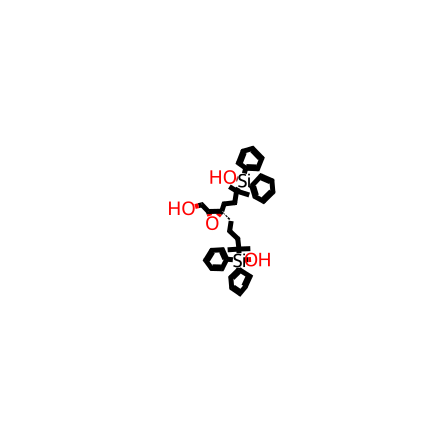 CC(C)(CCC[C@]1(CCC(C)(C)[Si](O)(c2ccccc2)c2ccccc2)OC1CO)[Si](O)(c1ccccc1)c1ccccc1